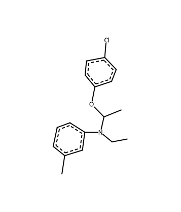 CCN(c1cccc(C)c1)C(C)Oc1ccc(Cl)cc1